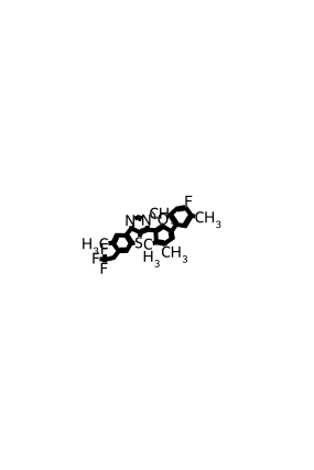 Cc1cc2c(cc1F)oc1c(-c3c4sc5cc(CC(F)(F)F)c(C)cc5c4nc[n+]3C)c(C)c(C)cc12